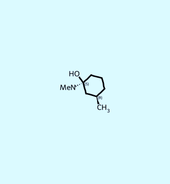 CN[C@]1(O)CCC[C@@H](C)C1